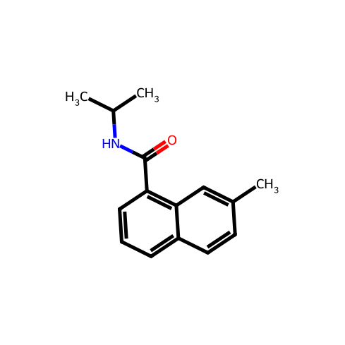 Cc1ccc2cccc(C(=O)NC(C)C)c2c1